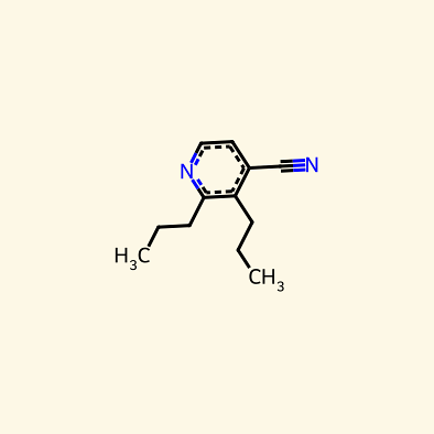 CCCc1nccc(C#N)c1CCC